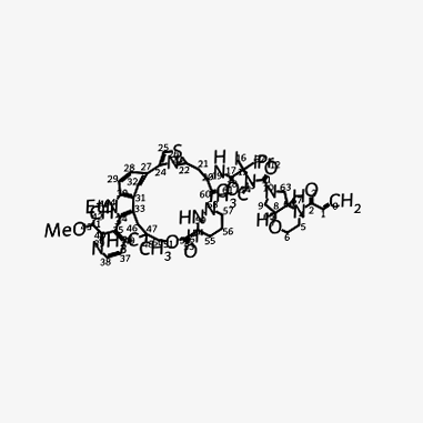 C=CC(=O)N1CCO[C@@H]2CN(C(=O)N(C)C(I)(C(=O)N[C@H]3Cc4nc(cs4)-c4ccc5c(c4)c(c(-c4cccnc4[C@H](C)OC)n5CC)CC(C)(C)COC(=O)[C@@H]4CCCN(N4)C3=O)C(C)C)C[C@@H]21